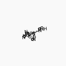 O=C(O)[C@H](CCN(CCCCc1ccc2c(n1)NCCC2)CCOc1ccccn1)Nc1cncc(-c2ccncc2)n1